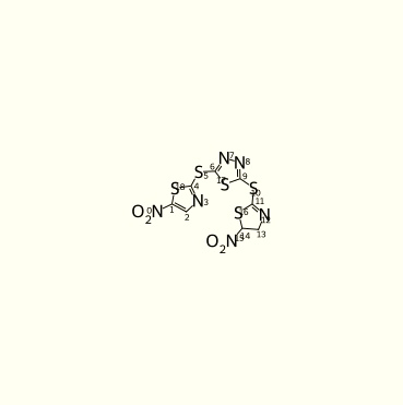 O=[N+]([O-])c1cnc(Sc2nnc(SC3=NCC([N+](=O)[O-])S3)s2)s1